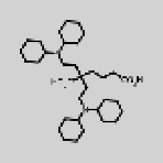 O=C(O)CCCC(CCN(C1CCCCC1)C1CCCCC1)(CCN(C1CCCCC1)C1CCCCC1)C(=O)O